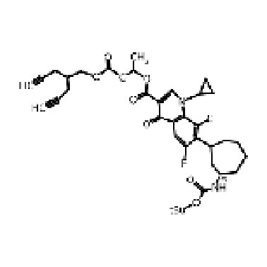 C#CCC(CC#C)COC(=O)OC(C)OC(=O)c1cn(C2CC2)c2c(Cl)c(C3CCCC[C@@H](NC(=O)OC(C)(C)C)C3)c(F)cc2c1=O